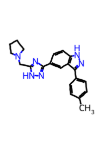 Cc1ccc(-c2n[nH]c3ccc(-c4n[nH]c(CN5CCCC5)n4)cc23)cc1